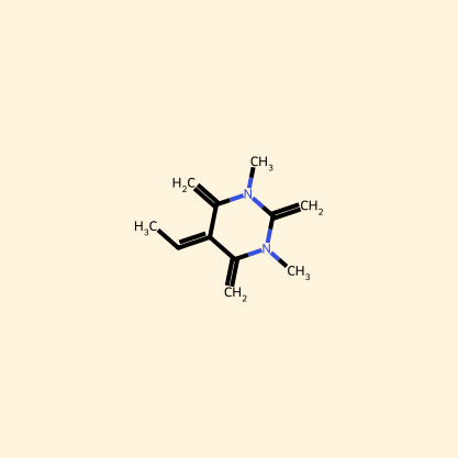 C=C1C(=CC)C(=C)N(C)C(=C)N1C